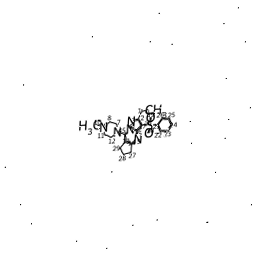 CCc1nn2c(N3CCN(C)CC3)c3c(nc2c1S(=O)(=O)c1ccccc1)CCC3